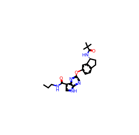 CCCNC(=O)c1c[nH]c2ncc(Oc3ccc4c(c3)[C@H](NC(=O)C(C)(C)C)CC4)nc12